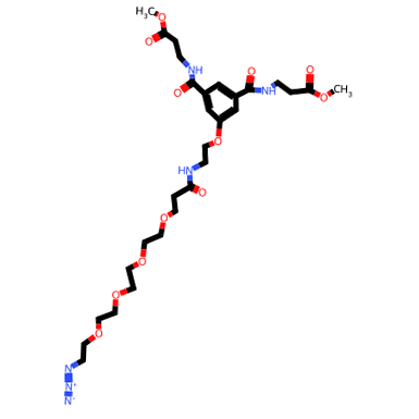 COC(=O)CCNC(=O)c1cc(OCCNC(=O)CCOCCOCCOCCOCCN=[N+]=[N-])cc(C(=O)NCCC(=O)OC)c1